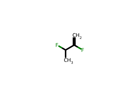 C=C(F)C(C)F